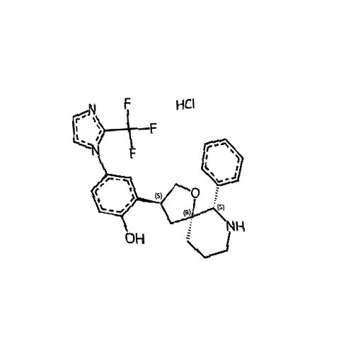 Cl.Oc1ccc(-n2ccnc2C(F)(F)F)cc1[C@H]1CO[C@]2(CCCN[C@H]2c2ccccc2)C1